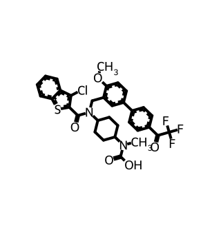 COc1ccc(-c2ccc(C(=O)C(F)(F)F)cc2)cc1CN(C(=O)c1sc2ccccc2c1Cl)C1CCC(N(C)C(=O)O)CC1